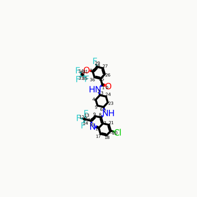 O=C(NC1CCC(Nc2cc(C(F)(F)F)nc3ccc(Cl)cc23)CC1)c1ccc(F)c(OC(F)(F)F)c1